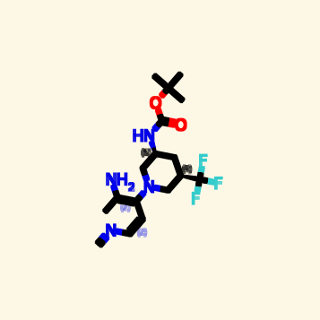 C=N/C=C\C(=C(/C)N)N1C[C@@H](NC(=O)OC(C)(C)C)C[C@@H](C(F)(F)F)C1